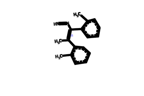 C/C(=C(\N=N)c1ccccc1C)c1ccccc1C